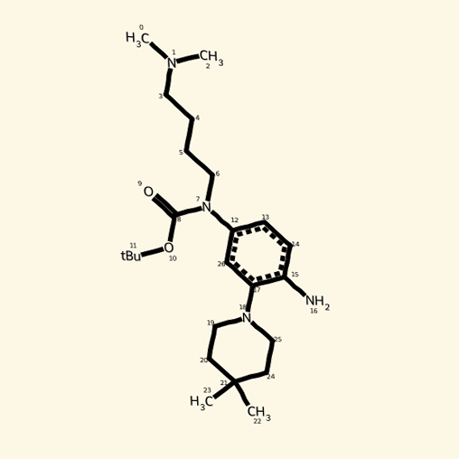 CN(C)CCCCN(C(=O)OC(C)(C)C)c1ccc(N)c(N2CCC(C)(C)CC2)c1